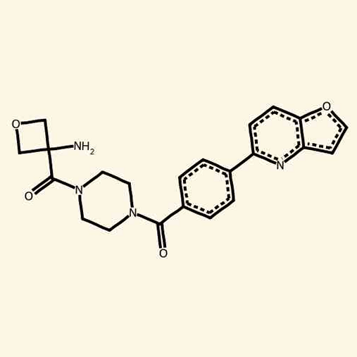 NC1(C(=O)N2CCN(C(=O)c3ccc(-c4ccc5occc5n4)cc3)CC2)COC1